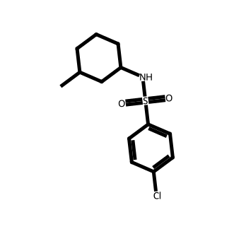 CC1CCCC(NS(=O)(=O)c2ccc(Cl)cc2)C1